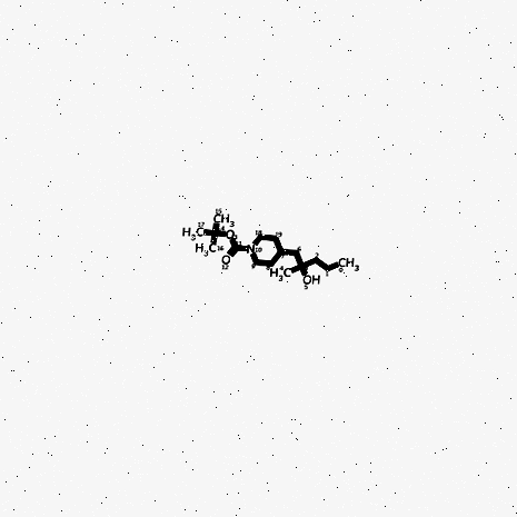 CCCC(C)(O)CC1CCN(C(=O)OC(C)(C)C)CC1